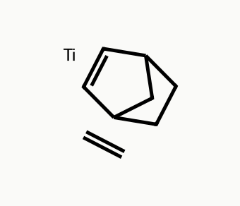 C1=CC2CCC1C2.C=C.[Ti]